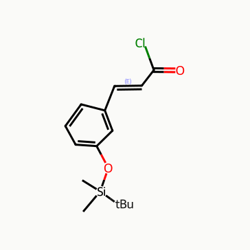 CC(C)(C)[Si](C)(C)Oc1cccc(/C=C/C(=O)Cl)c1